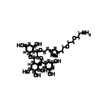 NCCOCCOCCc1cn(CCOC2c3c(O)cc(O)cc3OC(c3cc(O)c(O)c(O)c3)C2OC(=O)c2cc(O)nc(O)c2)nn1